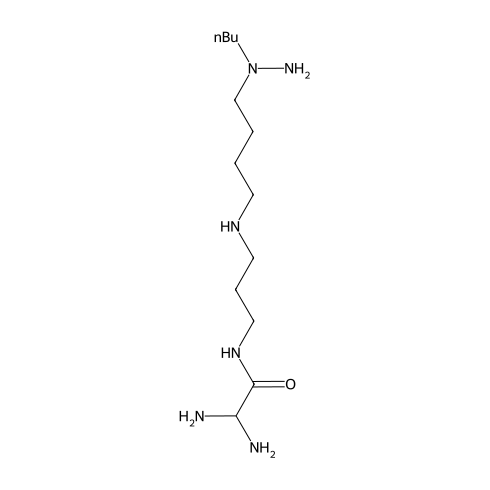 CCCCN(N)CCCCNCCCNC(=O)C(N)N